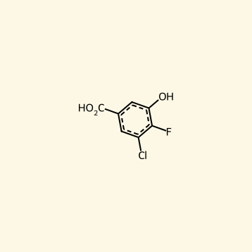 O=C(O)c1cc(O)c(F)c(Cl)c1